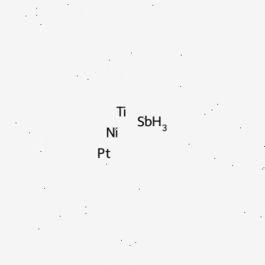 [Ni].[Pt].[SbH3].[Ti]